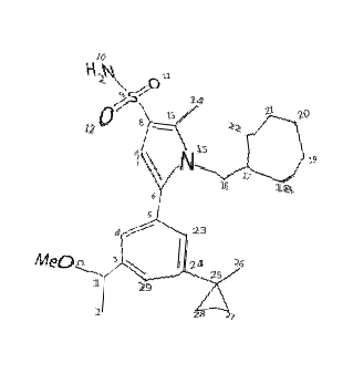 COC(C)c1cc(-c2cc(S(N)(=O)=O)c(C)n2CC2CCCCC2)cc(C2(C)CC2)c1